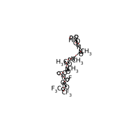 CN(CCN1CCC(OC(=O)Nc2ccccc2-c2ccccc2)CC1)C(=O)CCCCCN(C)c1cccc(C(=O)N(C)CCCN(C)C(=O)CO[C@H]2Cc3ccccc3C23CCN(CC[C@@]2(c4ccc(F)cc4)CN(C(=O)c4cc(C(F)(F)F)cc(C(F)(F)F)c4)CO2)CC3)c1